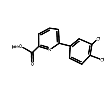 COC(=O)c1cccc(-c2ccc(Cl)c(Cl)c2)n1